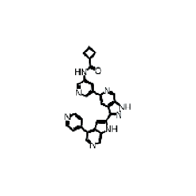 O=C(Nc1cncc(-c2cc3c(-c4cc5c(-c6ccncc6)cncc5[nH]4)n[nH]c3cn2)c1)C1CCC1